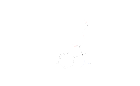 CN(C)C(C)(C(=O)OCC=O)c1ccc(O)cc1